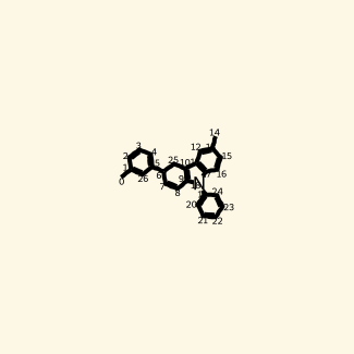 Cc1cccc(C2C=Cc3c(c4cc(C)ccc4n3-c3ccccc3)C2)c1